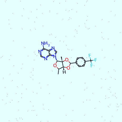 CC1O[C@@H](n2cnc3c(N)ncnc32)[C@]2(C)OC(c3ccc(C(F)(F)F)cc3)O[C@H]12